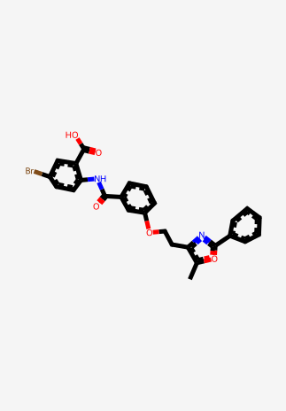 Cc1oc(-c2ccccc2)nc1CCOc1cccc(C(=O)Nc2ccc(Br)cc2C(=O)O)c1